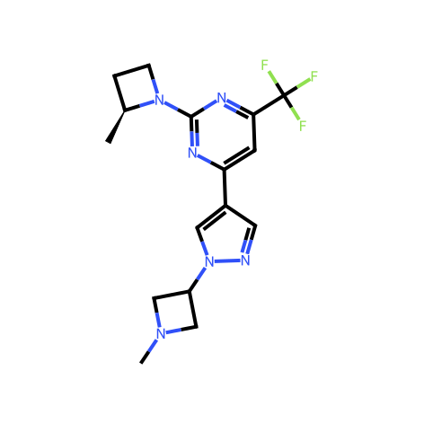 C[C@H]1CCN1c1nc(-c2cnn(C3CN(C)C3)c2)cc(C(F)(F)F)n1